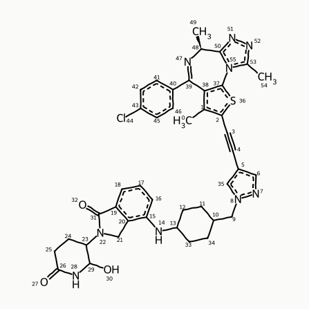 Cc1c(C#Cc2cnn(CC3CCC(Nc4cccc5c4CN(C4CCC(=O)NC4O)C5=O)CC3)c2)sc2c1C(c1ccc(Cl)cc1)=N[C@@H](C)c1nnc(C)n1-2